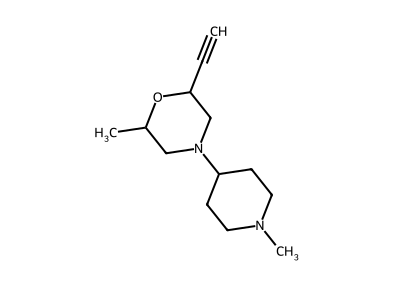 C#CC1CN(C2CCN(C)CC2)CC(C)O1